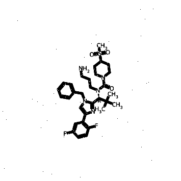 CC(C)(C)[C@H](c1nc(-c2cc(F)ccc2F)cn1Cc1ccccc1)N(CCCN)C(=O)N1CCC(S(C)(=O)=O)CC1